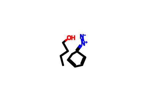 CCCCO.[N-]=[N+]=C1C=CC=CC1